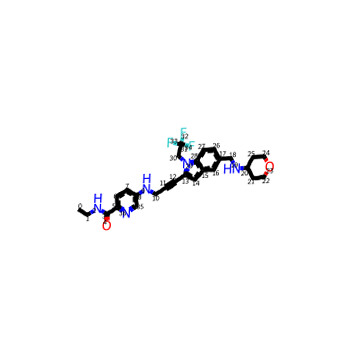 CCNC(=O)c1ccc(NCC#Cc2cc3cc(CNC4CCOCC4)ccc3n2CC(F)(F)F)cn1